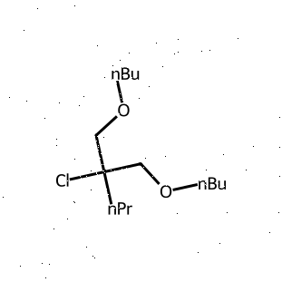 CCCCOCC(Cl)(CCC)COCCCC